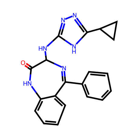 O=C1Nc2ccccc2C(c2ccccc2)=NC1Nc1nnc(C2CC2)[nH]1